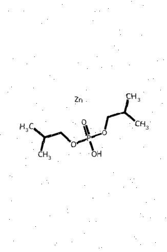 CC(C)COP(=O)(O)OCC(C)C.[Zn]